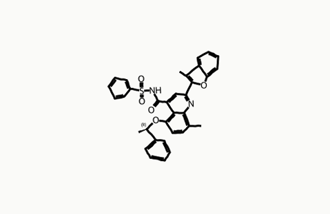 Cc1c(-c2cc(C(=O)NS(=O)(=O)c3ccccc3)c3c(O[C@H](C)c4ccccc4)ccc(C)c3n2)oc2ccccc12